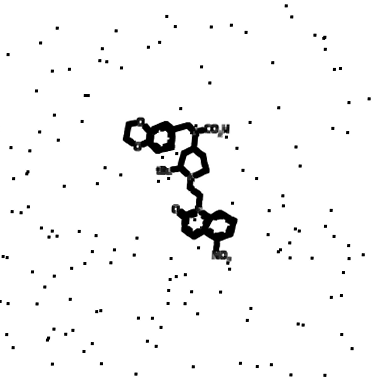 CC(C)(C)C1CC(N(Cc2ccc3c(c2)OCCO3)C(=O)O)CCN1CCn1c(=O)ccc2c([N+](=O)[O-])cccc21